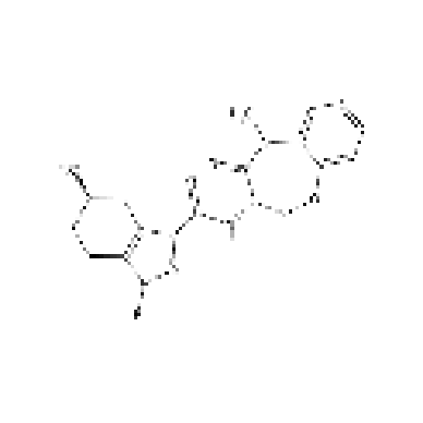 CCn1nc(C(=O)N[C@H]2COc3ccccc3N(C)C2=O)c2c1CC[C@@H](C(F)(F)F)C2